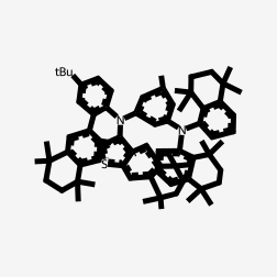 Cc1cc(N(c2cccc3c2C(C)(C)CCC3(C)C)c2cccc3c2C(C)(C)CCC3(C)C)cc(N(c2ccc(C(C)(C)C)cc2-c2cc3c(cc2C)C(C)(C)CCC3(C)C)c2csc3cc4c(cc23)C(C)(C)CCC4(C)C)c1